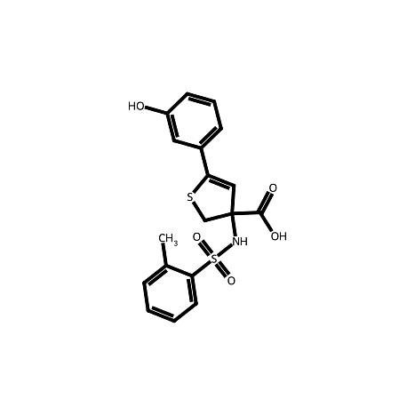 Cc1ccccc1S(=O)(=O)NC1(C(=O)O)C=C(c2cccc(O)c2)SC1